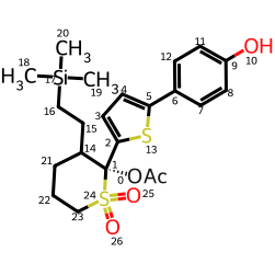 CC(=O)O[C@@]1(c2ccc(-c3ccc(O)cc3)s2)C(CC[Si](C)(C)C)CCCS1(=O)=O